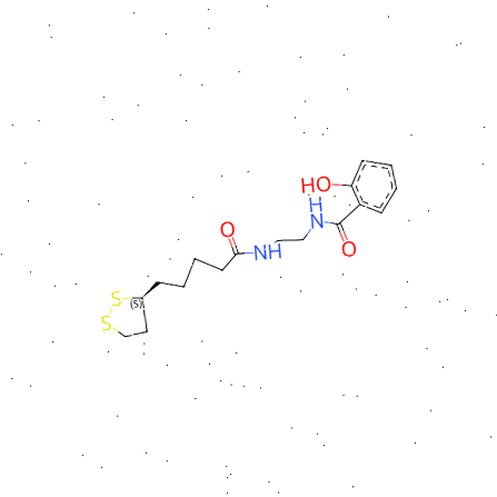 O=C(CCCC[C@H]1CCSS1)NCCNC(=O)c1ccccc1O